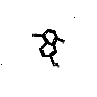 Cc1cnc2c(O)ccc(F)c2c1